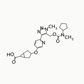 CN(C(=O)OCc1c(-c2ccc(OC3CC4C(C3)C4C(=O)O)cn2)nnn1C)C1CCCC1